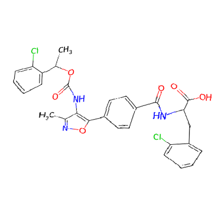 Cc1noc(-c2ccc(C(=O)NC(Cc3ccccc3Cl)C(=O)O)cc2)c1NC(=O)OC(C)c1ccccc1Cl